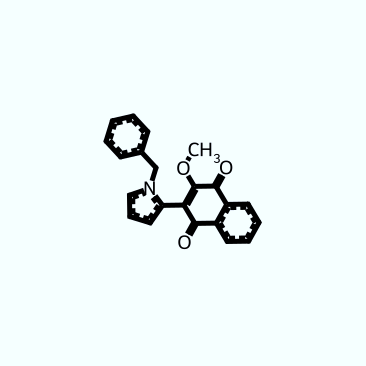 COC1=C(c2cccn2Cc2ccccc2)C(=O)c2ccccc2C1=O